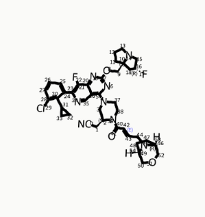 N#CC[C@H]1CN(c2nc(OC[C@@]34CCCN3C[C@H](F)C4)nc3c(F)c(-c4cccc(Cl)c4C4CC4)ncc23)CCN1C(=O)/C=C/CN1[C@@H]2CC[C@H]1COC2